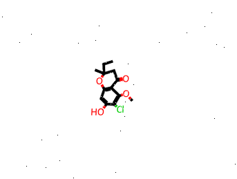 CCC1(C)CC(=O)c2c(cc(O)c(Cl)c2OC)O1